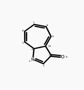 O=C1C=NC2C=CC=CC=C12